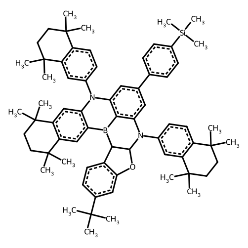 CC(C)(C)c1ccc2c(c1)OC1C2B2c3cc4c(cc3N(c3ccc5c(c3)C(C)(C)CCC5(C)C)c3cc(-c5ccc([Si](C)(C)C)cc5)cc(c32)N1c1ccc2c(c1)C(C)(C)CCC2(C)C)C(C)(C)CCC4(C)C